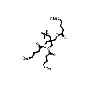 CCCCCCCCCCCCCC(=O)OCC(COC(=O)CCCCCCCCCCCCC)(COC(=O)CCCCCCCCCCCCC)C[N+](C)(C)C